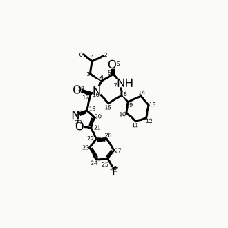 CC(C)C[C@H]1C(=O)N[C@@H](C2CCCCC2)CN1C(=O)c1cc(-c2ccc(F)cc2)on1